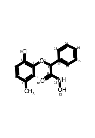 Cc1ccc(Cl)c(OC(C(=O)NO)c2ccccc2)c1